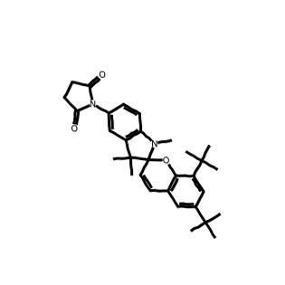 CN1c2ccc(N3C(=O)CCC3=O)cc2C(C)(C)C12C=Cc1cc(C(C)(C)C)cc(C(C)(C)C)c1O2